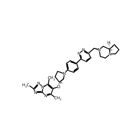 Cc1nc2nc(C)c(O[C@@H]3CCN(c4ccc(-c5ccc(CN6CCN7CCC[C@@H]7C6)nn5)cc4)C3)c(C)n2n1